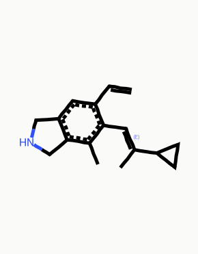 C=Cc1cc2c(c(C)c1/C=C(\C)C1CC1)CNC2